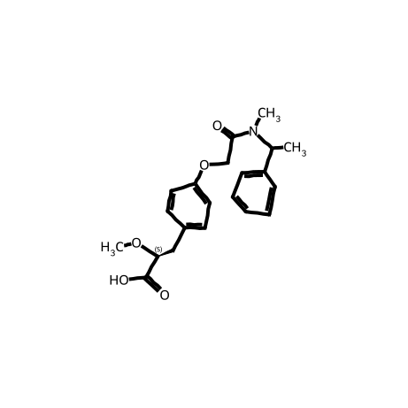 CO[C@@H](Cc1ccc(OCC(=O)N(C)C(C)c2ccccc2)cc1)C(=O)O